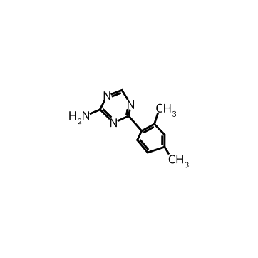 Cc1ccc(-c2ncnc(N)n2)c(C)c1